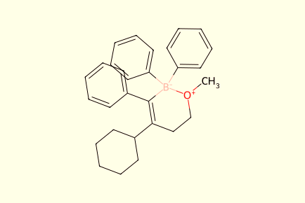 C[O+]1CCC(C2CCCCC2)=C(c2ccccc2)[B-]1(c1ccccc1)c1ccccc1